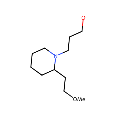 COCCC1CCCCN1CCC[O]